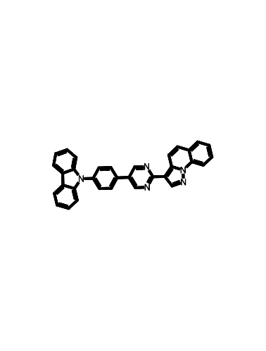 c1ccc2c(c1)ccc1c(-c3ncc(-c4ccc(-n5c6ccccc6c6ccccc65)cc4)cn3)cnn12